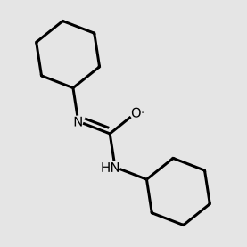 [O]/C(=N\C1CCCCC1)NC1CCCCC1